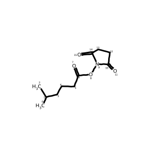 CC(C)CCCC(=O)ON1C(=O)CCC1=O